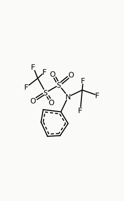 O=S(=O)(N(c1ccccc1)C(F)(F)F)S(=O)(=O)C(F)(F)F